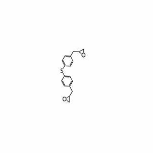 c1cc(Sc2ccc(CC3CO3)cc2)ccc1CC1CO1